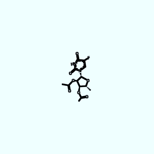 CC(=O)O[C@@H]1[C@H](OC(C)=O)[C@@H](C)O[C@H]1n1cc(F)c(=O)[nH]c1=O